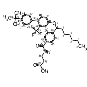 CCCCCCC(Oc1ccc(-c2ccc(C(C)(C)C)cc2)c(C(F)(F)F)c1)c1ccc(C(=O)NCCC(=O)O)cc1